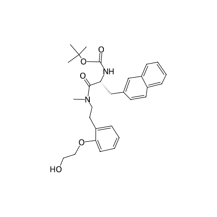 CN(CCc1ccccc1OCCO)C(=O)[C@@H](Cc1ccc2ccccc2c1)NC(=O)OC(C)(C)C